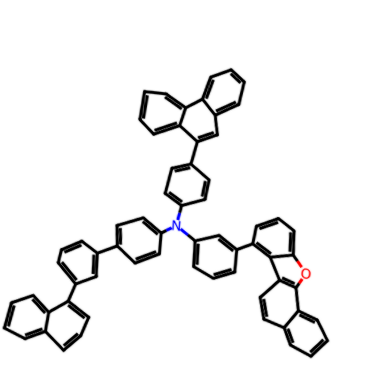 c1cc(-c2ccc(N(c3ccc(-c4cc5ccccc5c5ccccc45)cc3)c3cccc(-c4cccc5oc6c7ccccc7ccc6c45)c3)cc2)cc(-c2cccc3ccccc23)c1